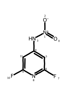 O=[N+]([O-])Nc1cc(F)nc(F)c1